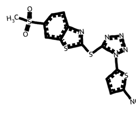 CS(=O)(=O)c1ccc2nc(Sc3nnnn3-c3ccc([N+](=O)[O-])s3)sc2c1